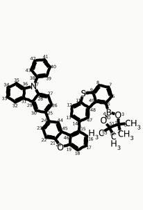 CC1(C)OB(c2cccc3sc4ccc(-c5cccc6oc7ccc(-c8ccc9c(c8)c8ccccc8n9-c8ccccc8)cc7c56)cc4c23)OC1(C)C